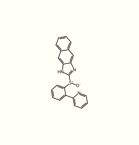 [O-][S+](c1nc2cc3ccccc3cc2[nH]1)c1ccccc1-c1ccccn1